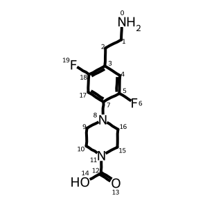 NCCc1cc(F)c(N2CCN(C(=O)O)CC2)cc1F